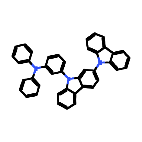 c1ccc(N(c2ccccc2)c2cccc(-n3c4ccccc4c4ccc(-n5c6ccccc6c6ccccc65)cc43)c2)cc1